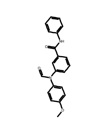 COc1ccc(N(C=O)c2c[c]cc(C(=O)Nc3ccccc3)c2)cc1